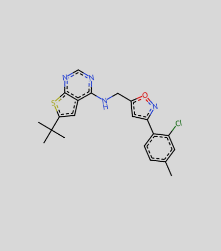 Cc1ccc(-c2cc(CNc3ncnc4sc(C(C)(C)C)cc34)on2)c(Cl)c1